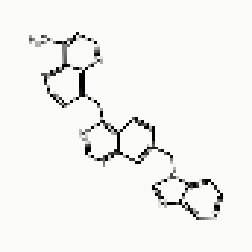 Cc1ccnc2c(Cc3ncnc4cc(Cn5cnc6ccccc65)ccc34)ccnc12